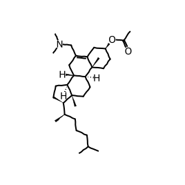 CC(=O)O[C@H]1CC[C@@]2(C)C(=C(CN(C)C)C[C@H]3[C@@H]4CC[C@H]([C@H](C)CCCC(C)C)[C@@]4(C)CC[C@@H]32)C1